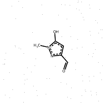 Cn1nc([C]=O)cc1O